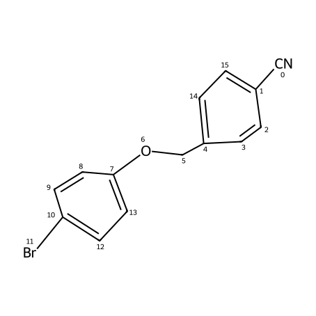 N#Cc1ccc(COc2ccc(Br)cc2)cc1